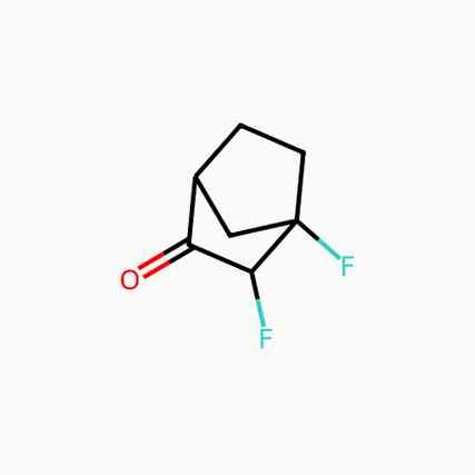 O=C1C2CCC(F)(C2)C1F